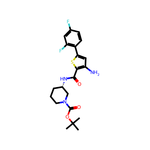 CC(C)(C)OC(=O)N1CCC[C@H](NC(=O)c2sc(-c3ccc(F)cc3F)cc2N)C1